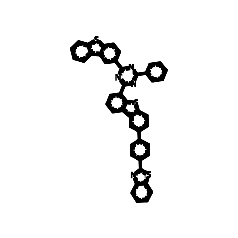 c1ccc(-c2nc(-c3ccc4sc5ccccc5c4c3)nc(-c3cccc4c3sc3ccc(-c5ccc(-c6nc7ccccc7s6)cc5)cc34)n2)cc1